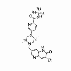 [2H]C([2H])([2H])NC(=O)c1ccc(N2C[C@@H](C)N(Cc3cnc4cc(CC)c(=O)[nH]c4c3)C[C@H]2C)cn1